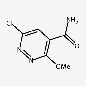 COc1nnc(Cl)cc1C(N)=O